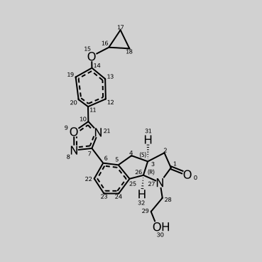 O=C1C[C@@H]2Cc3c(-c4noc(-c5ccc(OC6CC6)cc5)n4)cccc3[C@@H]2N1CCO